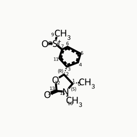 C[C@H]1[C@@H](c2cccc([S+](C)[O-])c2)OC(=O)N1C